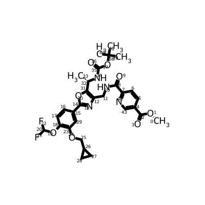 COC(=O)c1ccc(C(=O)NCc2nc(-c3ccc(OC(F)F)c(OCC4CC4)c3)oc2[C@H](C)NC(=O)OC(C)(C)C)nc1